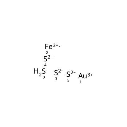 S.[Au+3].[Fe+3].[S-2].[S-2].[S-2]